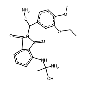 CCOc1cc(C(CN)N2C(=O)c3cccc(NC(C)(N)O)c3C2=O)ccc1OC